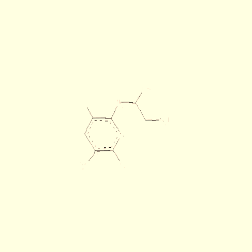 CCCCC(CN)Nc1nc(Cl)c(C#N)cc1F